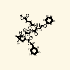 COC(=O)CCC(=O)N[C@@H](CCOc1ccccc1)C(=O)NCC(=O)N1[C@H]2C[C@@]2(C)C[C@H]1C(=O)OCc1ccccc1